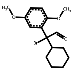 COc1ccc(OC)c(C(Br)(C=O)C2CCCCC2)c1